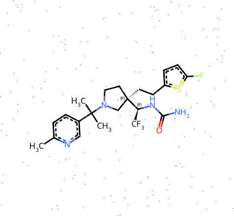 Cc1ccc(C(C)(C)N2CC[C@@](CCc3ccc(F)s3)([C@@H](NC(N)=O)C(F)(F)F)C2)cn1